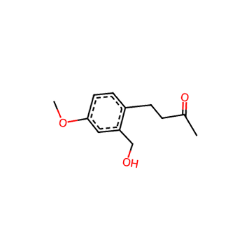 COc1ccc(CCC(C)=O)c(CO)c1